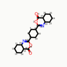 O=C1OC(C2CCC(C3=NC4CCCCC4C(=O)O3)CC2)=NC2CCCCC12